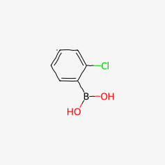 OB(O)c1cc[c]cc1Cl